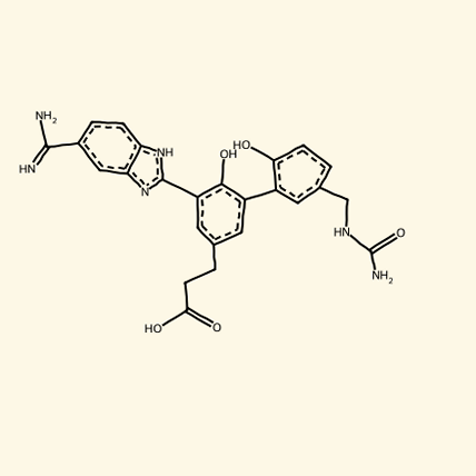 N=C(N)c1ccc2[nH]c(-c3cc(CCC(=O)O)cc(-c4cc(CNC(N)=O)ccc4O)c3O)nc2c1